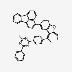 C/C=c1/oc2ccc(-c3ccc4c5c(cccc35)-c3ccccc3-4)cc2/c1=C(/C)c1ccc(-c2nc(C)nc(-c3ccccc3)n2)cc1